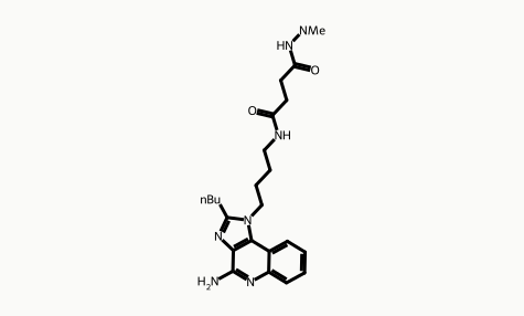 CCCCc1nc2c(N)nc3ccccc3c2n1CCCCNC(=O)CCC(=O)NNC